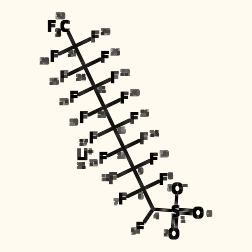 O=S(=O)([O-])C(F)C(F)(F)C(F)(F)C(F)(F)C(F)(F)C(F)(F)C(F)(F)C(F)(F)C(F)(F)C(F)(F)F.[Li+]